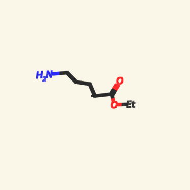 CCOC(=O)[CH]CCCN